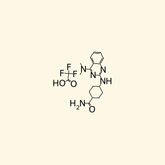 CN(C)c1nc(NC2CCC(C(N)=O)CC2)nc2ccccc12.O=C(O)C(F)(F)F